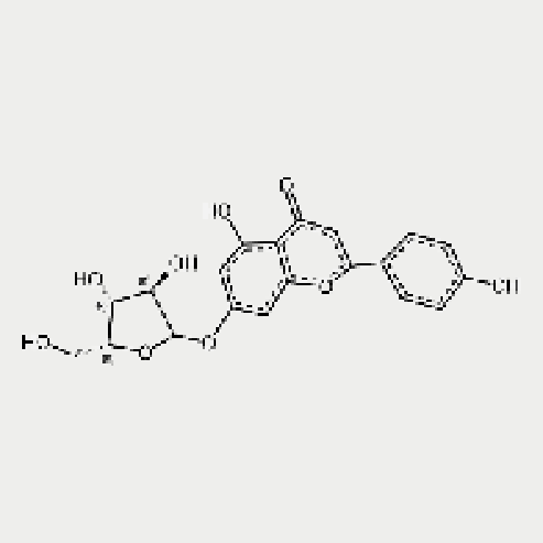 O=c1cc(-c2ccc(O)cc2)oc2cc(OC3O[C@H](CO)[C@H](O)[C@H]3O)cc(O)c12